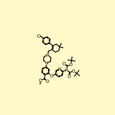 COC(=O)c1ccc(N2CCN(CC3=C(c4ccc(Cl)cc4)CC(C)(C)CC3)CC2)cc1Oc1ccc(N(C(=O)OC(C)(C)C)C(=O)OC(C)(C)C)nc1